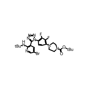 CC(C)(C)Nc1ncc(Br)cc1-c1nnnn1-c1ccc(N2CCN(C(=O)OC(C)(C)C)CC2)c(F)c1F